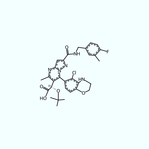 Cc1cc(CNC(=O)c2cc3nc(C)c([C@H](OC(C)(C)C)C(=O)O)c(-c4ccc5c(c4Cl)NCCO5)n3n2)ccc1F